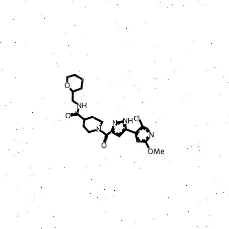 COc1cc(-c2cc(C(=O)N3CCC(C(=O)NCC4CCCCO4)CC3)n[nH]2)c(Cl)cn1